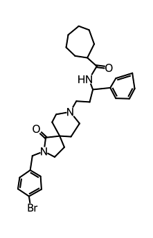 O=C(NC(CCN1CCC2(CC1)CCN(Cc1ccc(Br)cc1)C2=O)c1ccccc1)C1CCCCCC1